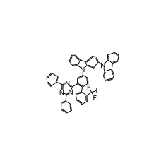 FC(F)(F)c1ccccc1-c1ccc(-n2c3ccccc3c3ccc(-n4c5ccccc5c5ccccc54)cc32)cc1-c1nc(-c2ccccc2)nc(-c2ccccc2)n1